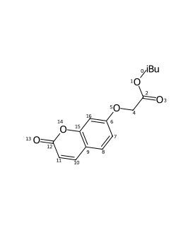 CCC(C)OC(=O)COc1ccc2ccc(=O)oc2c1